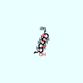 C=CC[C@H]1O[C@H]2C=C[C@H]3O[C@H]4[C@H](C)[C@H]5O[C@@H](/C=C/[C@H](C)CC)C=CC[C@@H]5O[C@@H]4C[C@@H]3O[C@@H]2C=C[C@@H]1O